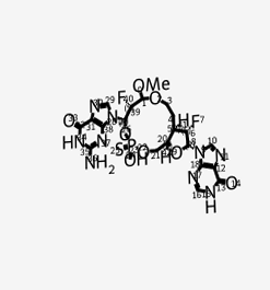 COC1OCC[C@H]2[C@H](F)[C@H](n3cnc4c(=O)[nH]cnc43)O[C@@H]2COP(O)(=S)O[C@@H](n2cnc3c(=O)[nH]c(N)nc32)[C@@H]1F